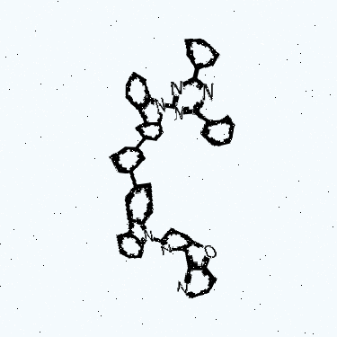 c1ccc(-c2nc(-c3ccccc3)nc(-n3c4ccccc4c4cc(-c5cccc(-c6ccc7c(c6)c6ccccc6n7-c6ccc7oc8cccnc8c7n6)c5)ccc43)n2)cc1